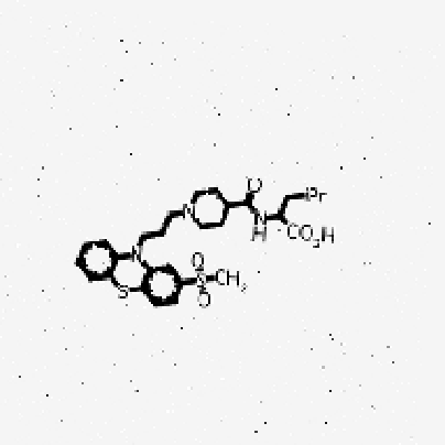 CC(C)CC(NC(=O)C1CCN(CCCN2c3ccccc3Sc3ccc(S(C)(=O)=O)cc32)CC1)C(=O)O